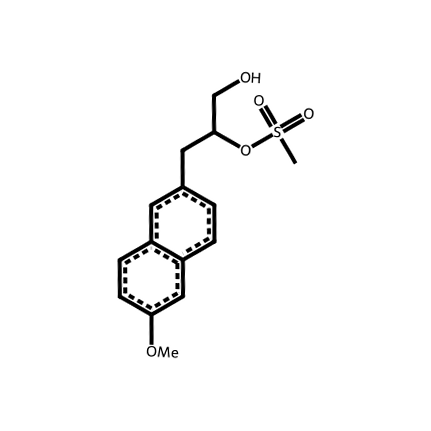 COc1ccc2cc(CC(CO)OS(C)(=O)=O)ccc2c1